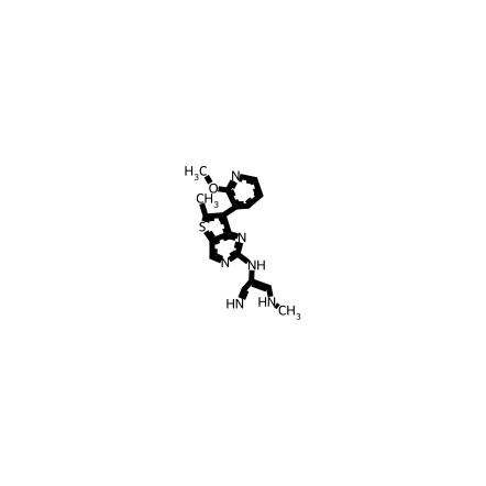 CN/C=C(\C=N)Nc1ncc2sc(C)c(-c3cccnc3OC)c2n1